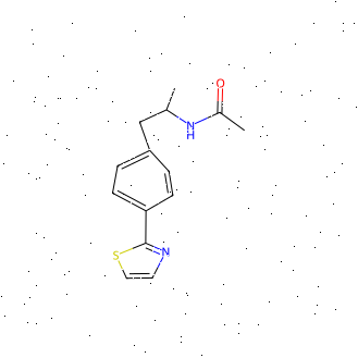 CC(=O)NC(C)Cc1ccc(-c2nccs2)cc1